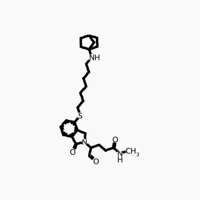 CNC(=O)CCC(C=O)N1Cc2c(SCCCCCCCNC34CCC(CC3)C4)cccc2C1=O